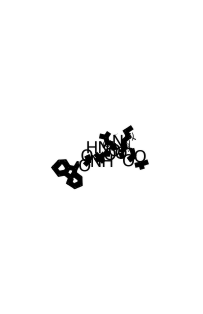 CC[C@H](C)[C@@H]([C@@H](CC(=O)OC(C)(C)C)OC)N(C)C(=O)[C@@H](NC(=O)C(C)(C)NC(=O)OCC1c2ccccc2-c2ccccc21)C(C)C